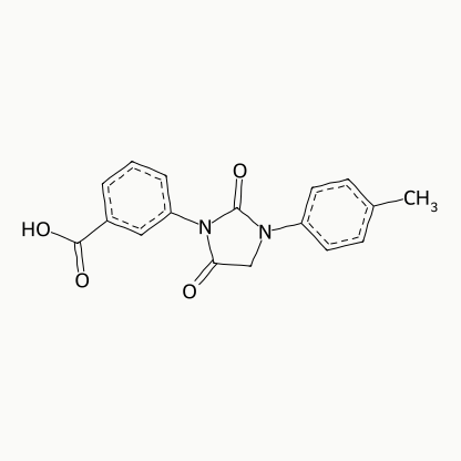 Cc1ccc(N2CC(=O)N(c3cccc(C(=O)O)c3)C2=O)cc1